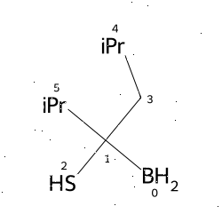 BC(S)(CC(C)C)C(C)C